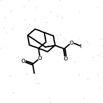 CC(=O)OC12CC3CC(C1)CC(C(=O)OI)(C3)C2